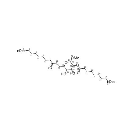 CCCCCCCCCCCCCCCCCC(=O)OCC1O[C@@H](OC)[C@@H](OC(=O)CCCCCCCCCCCCCCCCC)[C@H](O)C1O